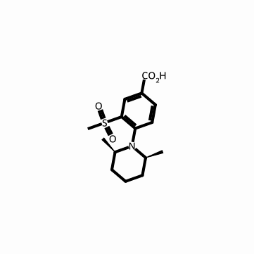 C[C@@H]1CCC[C@H](C)N1c1ccc(C(=O)O)cc1S(C)(=O)=O